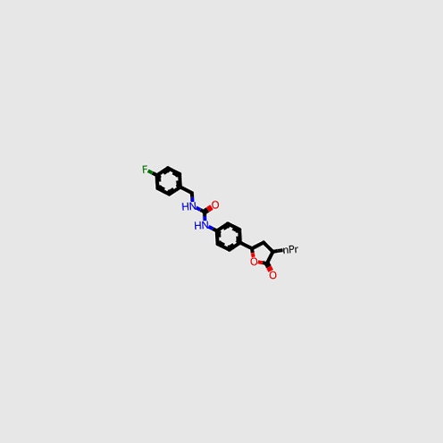 CCCC1CC(c2ccc(NC(=O)NCc3ccc(F)cc3)cc2)OC1=O